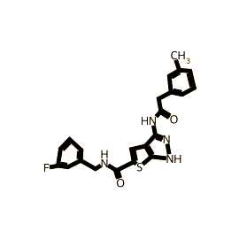 Cc1cccc(CC(=O)Nc2n[nH]c3sc(C(=O)NCc4cccc(F)c4)cc23)c1